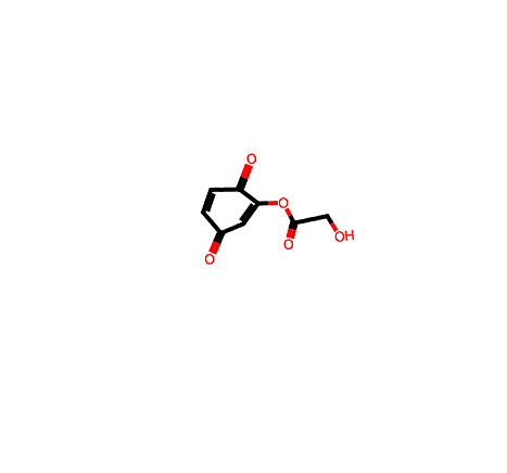 O=C1C=CC(=O)C(OC(=O)CO)=C1